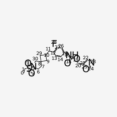 CCS(=O)(=O)N1CCC2(CC(Cc3ccc(NC(=O)OCc4cnco4)cc3F)C2)C1